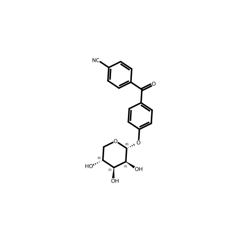 N#Cc1ccc(C(=O)c2ccc(O[C@H]3OC[C@@H](O)[C@H](O)[C@@H]3O)cc2)cc1